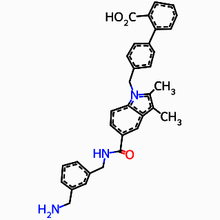 Cc1c(C)n(Cc2ccc(-c3ccccc3C(=O)O)cc2)c2ccc(C(=O)NCc3cccc(CN)c3)cc12